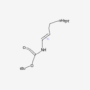 CCCCCCCC/C=C/NC(=O)OC(C)(C)C